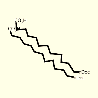 CCCCCCCCCCCCCCCCCCCCCC(=O)O.CCCCCCCCCCCCCCCCCCCCCC(=O)O